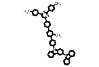 Cc1ccc(-c2cc(-c3ccc(-c4ccc(-c5ccc(-n6c7ccccc7c7cc(-n8c9ccccc9c9ccccc98)ccc76)cc5)c(C)c4)cc3)nc(-c3ccc(C)cc3)n2)cc1